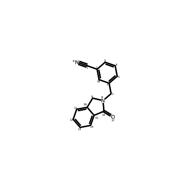 N#Cc1cccc(CN2Cc3ccccc3C2=O)c1